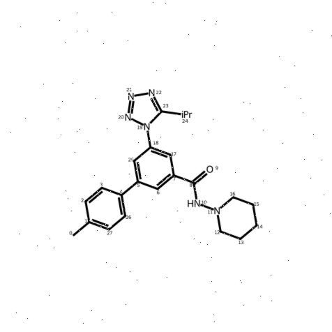 Cc1ccc(-c2cc(C(=O)NN3CCCCC3)cc(-n3nnnc3C(C)C)c2)cc1